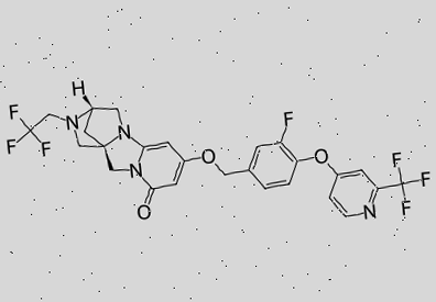 O=c1cc(OCc2ccc(Oc3ccnc(C(F)(F)F)c3)c(F)c2)cc2n1C[C@@]13C[C@@H](CN21)N(CC(F)(F)F)C3